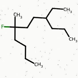 CCCCC(C)(F)CCC(CC)CCC